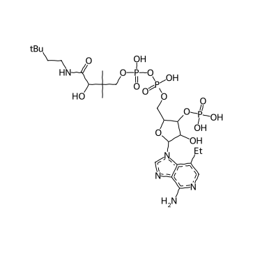 CCc1cnc(N)c2ncn(C3OC(COP(=O)(O)OP(=O)(O)OCC(C)(C)C(O)C(=O)NCCC(C)(C)C)C(OP(=O)(O)O)C3O)c12